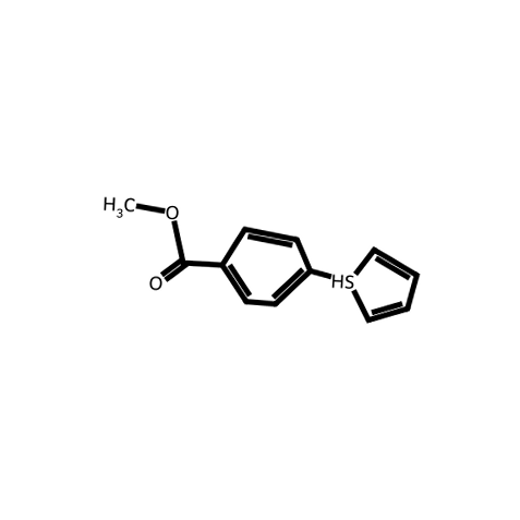 COC(=O)c1ccc([SH]2C=CC=C2)cc1